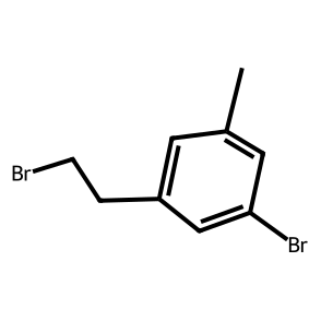 Cc1cc(Br)cc(CCBr)c1